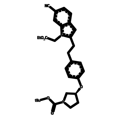 CCOC(=O)Cn1c(CCc2ccc(O[C@H]3CCN(C(=O)OC(C)(C)C)C3)cc2)cc2ccc(C#N)cc21